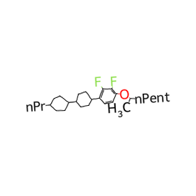 CCCCCC(C)Oc1ccc(C2CCC(C3CCC(CCC)CC3)CC2)c(F)c1F